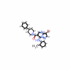 Cc1ccccc1Nc1c(C(=O)N2CCC(c3ccccc3)CC2)cnc2c(Br)cnn12